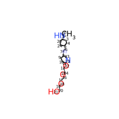 CNc1ccc(/C=C/c2ccc(OCCOCCOCCO)nc2)cc1